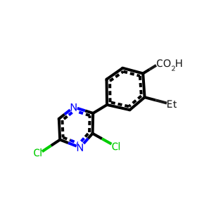 CCc1cc(-c2ncc(Cl)nc2Cl)ccc1C(=O)O